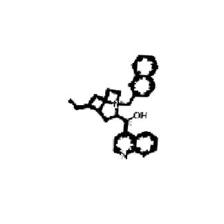 CCC1CC23CC[N+]2(Cc2ccc4ccccc4c2)C([C@@H](O)c2ccnc4ccccc24)CC13